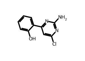 Nc1nc(Cl)cc(-c2ccccc2O)n1